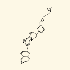 COCCOCc1cccc(-c2ccc3nc(-c4ccc5ccccc5c4)cn3c2)c1